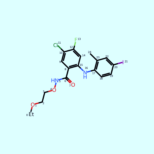 CCOCCONC(=O)c1cc(Cl)c(F)cc1Nc1ccc(I)cc1C